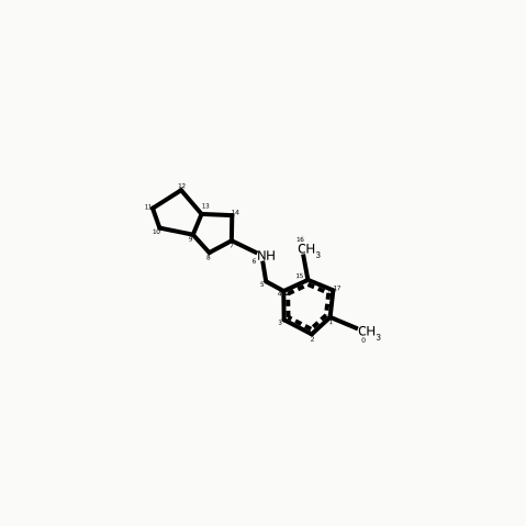 Cc1ccc(CNC2CC3CCCC3C2)c(C)c1